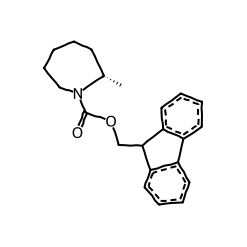 C[C@H]1CCCCCN1C(=O)OCC1c2ccccc2-c2ccccc21